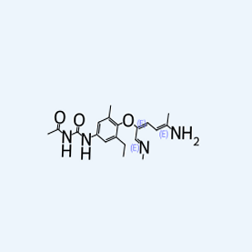 CCc1cc(NC(=O)NC(C)=O)cc(C)c1OC(/C=N/C)=C/C=C(\C)N